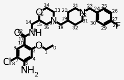 CCOc1cc(N)c(Cl)cc1C(=O)NCC1CN(CC2CCN(Cc3ccc(F)cc3)CC2)CCO1